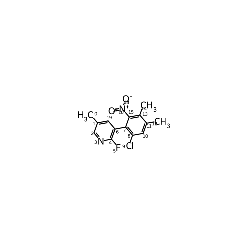 Cc1cnc(F)c(-c2c(Cl)cc(C)c(C)c2[N+](=O)[O-])c1